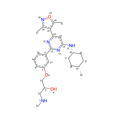 CNCC(O)COc1cccc(-c2nc(N[C@H]3CC[C@@H](C)CC3)cc(-c3c(C)noc3C)n2)c1